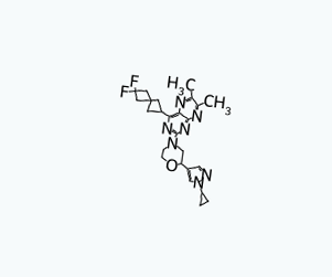 Cc1nc2nc(N3CCOC(c4cnn(C5CC5)c4)C3)nc(C3CC4(C3)CC(F)(F)C4)c2nc1C